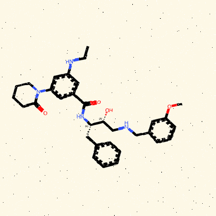 CCNc1cc(C(=O)N[C@@H](Cc2ccccc2)[C@H](O)CNCc2cccc(OC)c2)cc(N2CCCCC2=O)c1